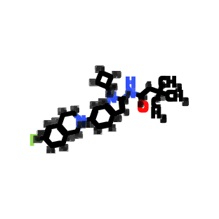 CC(C)(C)CC(=O)Nc1cc2ccc(N3CCc4cc(F)ccc4C3)cc2n1C1CCC1